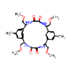 COCC1NC(=O)C(=O)NC(COC)c2cc(C)cc(c2)C(COC)NC(=O)C(=O)NC(COC)c2cc(C)cc1c2